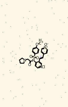 COc1ccc(S(=O)(=O)N(C(=O)CN2CCCC2)c2ccccc2/C=C/c2cc[n+]([O-])cc2)cc1.Cl